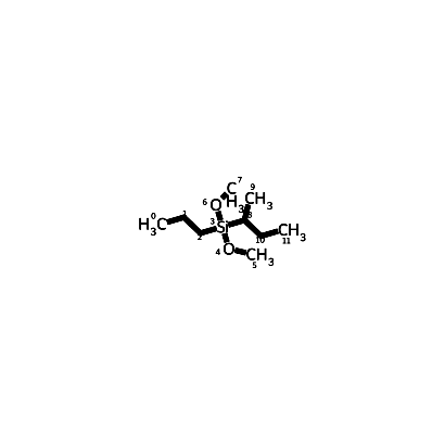 CCC[Si](OC)(OC)C(C)CC